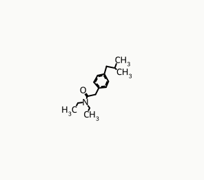 CCN(CC)C(=O)Cc1ccc(CC(C)C)cc1